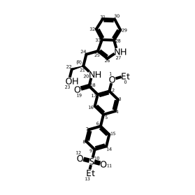 CCOc1ccc(-c2ccc(S(=O)(=O)CC)cc2)cc1C(=O)N[C@@H](CO)Cc1c[nH]c2ccccc12